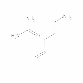 CC=CCCCN.NC(N)=O